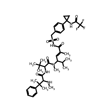 CNC(C(=O)NC(C(=O)N(C)C(C=C(C)C(=O)NS(=O)(=O)Cc1ccc(C2(NC(=O)C(F)(F)F)CC2)cc1)C(C)C)C(C)(C)C)C(C)(C)c1ccccc1